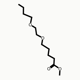 CCCCOCCOCCCCC(=O)OC